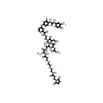 CC(C)CC(NC(=O)[C@@H](CC(N)=O)NC(=O)[C@@H](C)NC(=O)[C@@H](C)NC(=O)CCOCCOCCNC(=O)CCN1C(=O)C=CC1=O)C(=O)N(C)CCNC(=O)c1cc(Oc2ccc(NC(=O)Nc3ccc(Cl)c(C(F)(F)F)c3)c(F)c2)ccn1